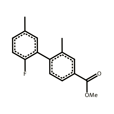 COC(=O)c1ccc(-c2cc(C)ccc2F)c(C)c1